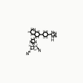 N#CC[C@]1(n2ncc(-c3cc(-c4ccc(-c5nnn[nH]5)cc4)cc4ncccc34)n2)C[C@@H](C#N)C1